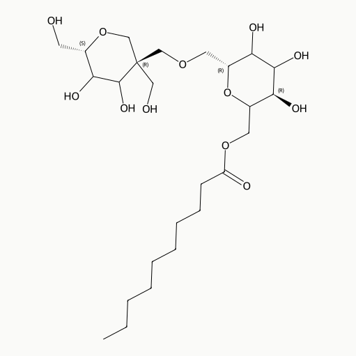 CCCCCCCCCC(=O)OCC1O[C@H](COC[C@]2(CO)CO[C@@H](CO)C(O)C2O)C(O)C(O)[C@H]1O